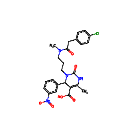 CC1=C(C(=O)O)C(c2cccc([N+](=O)[O-])c2)N(CCCN(C)C(=O)Cc2ccc(Cl)cc2)C(=O)N1